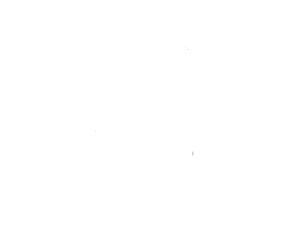 Cl.Cl.NCc1ccc(-c2nc3ccnc(-c4cccc5cnccc45)c3cc2-c2ccccc2)cc1